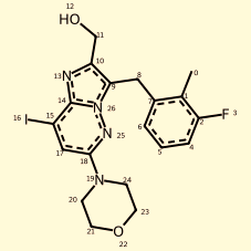 Cc1c(F)cccc1Cc1c(CO)nc2c(I)cc(N3CCOCC3)nn12